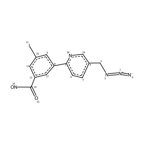 [N-]=[N+]=NCc1ccc(-c2cc(I)cc(C(=O)N=O)c2)nc1